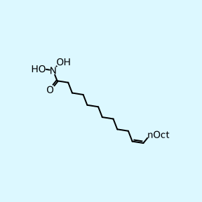 CCCCCCCC/C=C\CCCCCCCCCC(=O)N(O)O